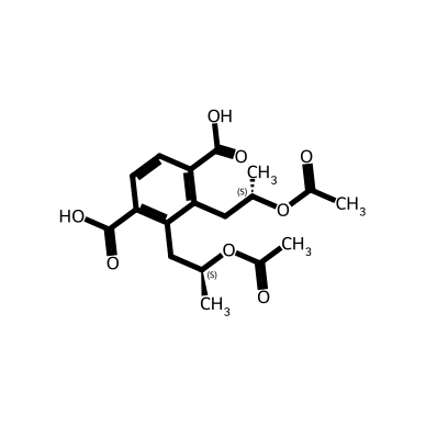 CC(=O)O[C@@H](C)Cc1c(C(=O)O)ccc(C(=O)O)c1C[C@H](C)OC(C)=O